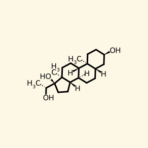 C[C@@H](O)[C@@]1(O)CC[C@H]2[C@@H]3CC[C@H]4C[C@H](O)CC[C@]4(C)[C@H]3CC[C@@]21C